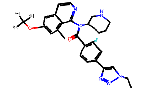 [2H]C([2H])([2H])Oc1cc(C)c2c(N(C(=O)c3ccc(-c4cn(CC)nn4)cc3F)[C@@H]3CCCNC3)nccc2c1